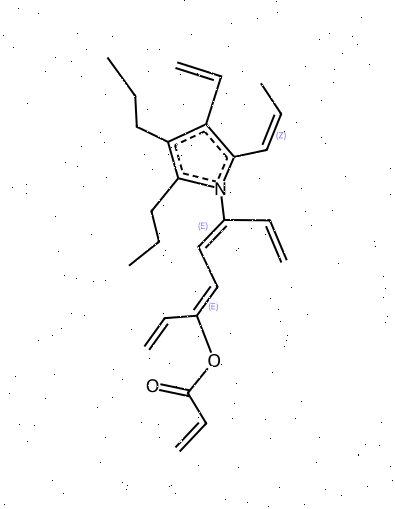 C=CC(=O)O/C(C=C)=C/C=C(\C=C)n1c(/C=C\C)c(C=C)c(CCC)c1CCC